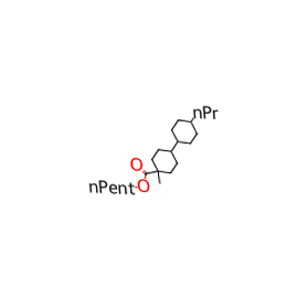 CCCCCOC(=O)C1(C)CCC(C2CCC(CCC)CC2)CC1